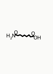 NC(=O)CCCCCCCC(=O)O